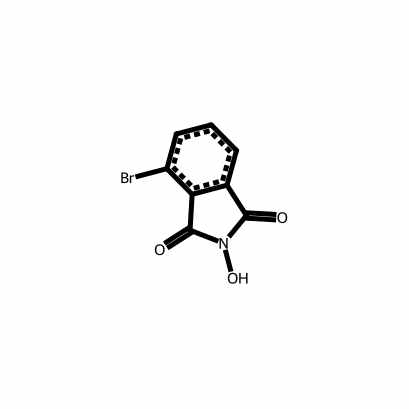 O=C1c2cccc(Br)c2C(=O)N1O